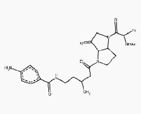 CCC(NC(C)=O)C(=O)N1CC(=O)C2C1CCN2C(=O)CC(C)CCNC(=O)c1ccc(N)cc1